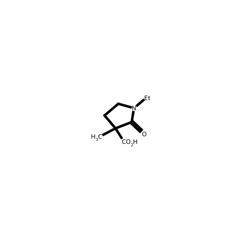 CCN1CCC(C)(C(=O)O)C1=O